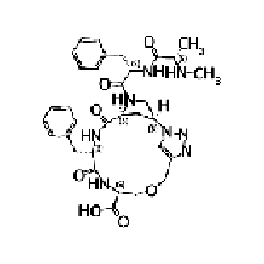 CN[C@@H](C)C(=O)N[C@@H](Cc1ccccc1)C(=O)N1C[C@@H]2C[C@H]1C(=O)N[C@@H](Cc1ccccc1)C(=O)N[C@H](C(=O)O)COCc1cn2nn1